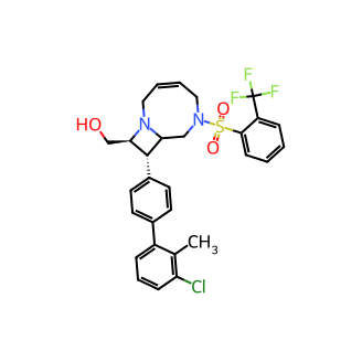 Cc1c(Cl)cccc1-c1ccc([C@H]2C3CN(S(=O)(=O)c4ccccc4C(F)(F)F)C/C=C\CN3[C@@H]2CO)cc1